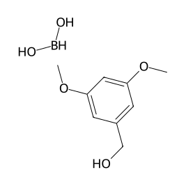 COc1cc(CO)cc(OC)c1.OBO